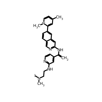 C=C(Nc1cc2cc(C3=CC(C)=C=CN3C)ccc2cn1)c1ccnc(NCCN(C)I)c1